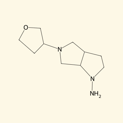 NN1CCC2CN(C3CCOC3)CC21